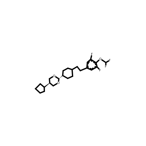 Fc1cc(CCC2CCC([C@H]3OC[C@H](C4CCCC4)CO3)CC2)cc(F)c1OC(F)F